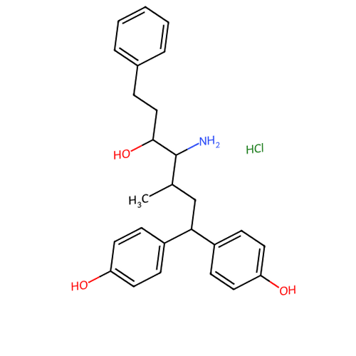 CC(CC(c1ccc(O)cc1)c1ccc(O)cc1)C(N)C(O)CCc1ccccc1.Cl